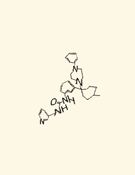 CC1CCC(c2cccc(NC(=O)Nc3cccnc3)c2)(N2CCN(c3ccccc3)CC2)CC1